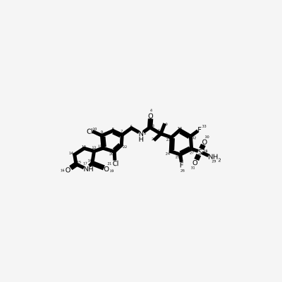 CC(C)(C(=O)NCc1cc(Cl)c(C2CCC(=O)NC2=O)c(Cl)c1)c1cc(F)c(S(N)(=O)=O)c(F)c1